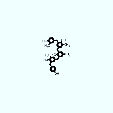 Cc1cc(Cc2cc(C)c(O)c(Cc3ccc(O)cc3)c2)c(O)c(Cc2cc(C)c(O)c(Cc3ccc(O)c(C)c3)c2)c1